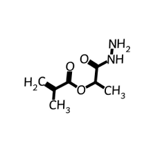 C=C(C)C(=O)OC(C)C(=O)NN